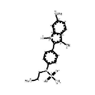 CCn1c(-c2ccc(N(CCOC)S(C)(=O)=O)cc2)c(C#N)c2ccc(OC)cc21